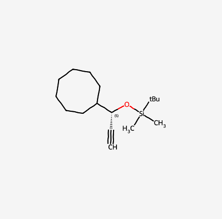 C#C[C@@H](O[Si](C)(C)C(C)(C)C)C1CCCCCCC1